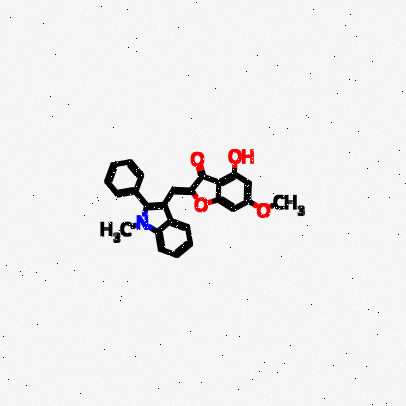 COc1cc(O)c2c(c1)OC(=Cc1c(-c3ccccc3)n(C)c3ccccc13)C2=O